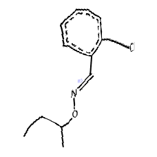 CCC(C)O/N=[C]/c1ccccc1Cl